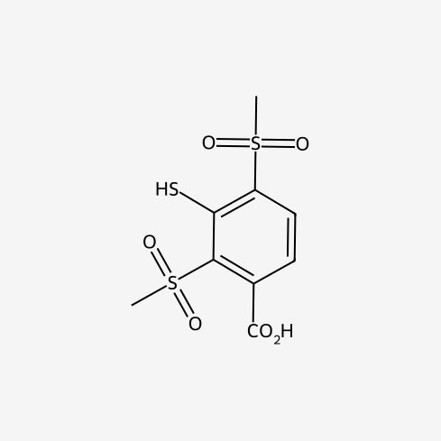 CS(=O)(=O)c1ccc(C(=O)O)c(S(C)(=O)=O)c1S